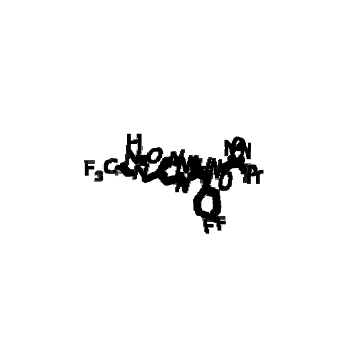 CC(C)c1nonc1C(=O)N[C@H](c1cn2ncc(CN3C[C@@H](C(F)(F)F)NC3=O)cc2n1)C1CCC(F)(F)CC1